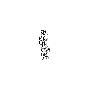 CN1CC[C@@H](Nc2cccc3c(CC(F)(F)F)c(-c4nnc(CNC(=O)C5CC5)s4)nn23)[C@@H](F)C1